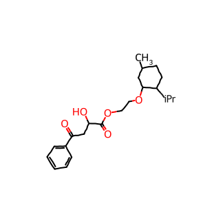 CC1CCC(C(C)C)C(OCCOC(=O)C(O)CC(=O)c2ccccc2)C1